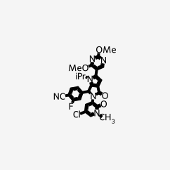 COc1ncc(-c2cc3c(n2C(C)C)C(c2ccc(C#N)c(F)c2)N(c2cc(Cl)cn(C)c2=O)C3=O)c(OC)n1